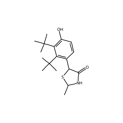 CC1NC(=O)C(c2ccc(O)c(C(C)(C)C)c2C(C)(C)C)S1